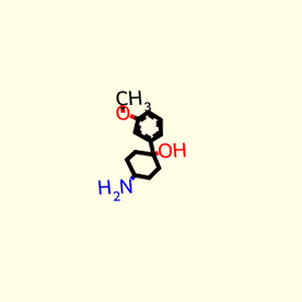 COc1cccc(C2(O)CCC(N)CC2)c1